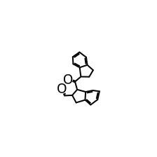 O=CC1Cc2ccccc2C1C(=O)C1CCc2ccccc21